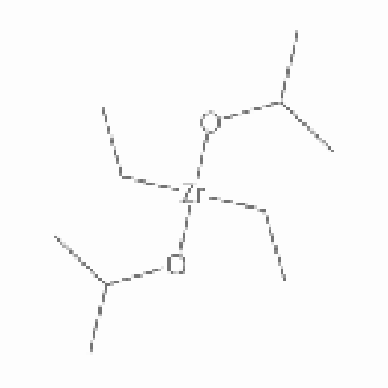 C[CH2][Zr]([CH2]C)([O]C(C)C)[O]C(C)C